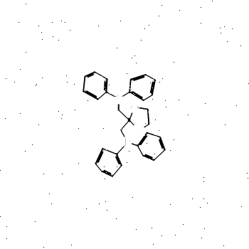 c1ccc(P(CC2(CP(c3ccccc3)c3ccccc3)OCCO2)c2ccccc2)cc1